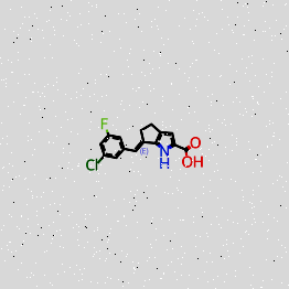 O=C(O)c1cc2c([nH]1)/C(=C/c1cc(F)cc(Cl)c1)CC2